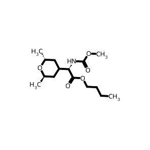 CCCCOC(=O)[C@@H](NC(=O)OC)C1C[C@@H](C)O[C@H](C)C1